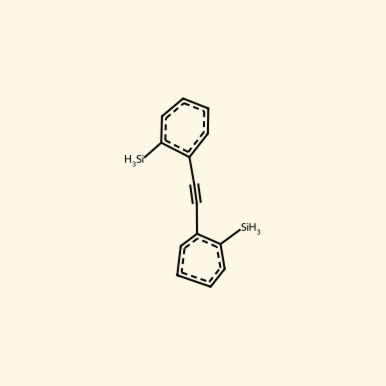 [SiH3]c1ccccc1C#Cc1ccccc1[SiH3]